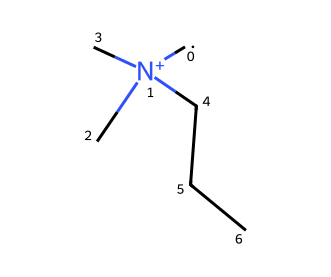 [CH2][N+](C)(C)CCC